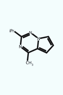 Cc1nc(C(C)C)nn2cccc12